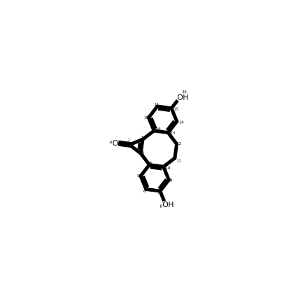 O=c1c2c1-c1ccc(O)cc1CCc1cc(O)ccc1-2